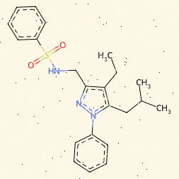 CCc1c(CNS(=O)(=O)c2ccccc2)nn(-c2ccccc2)c1CC(C)C